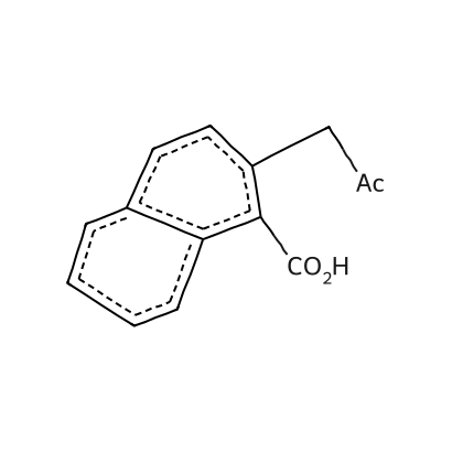 CC(=O)Cc1ccc2ccccc2c1C(=O)O